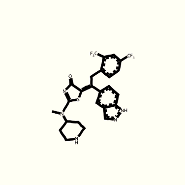 CN(C1=NC(=O)C(=C(Cc2ccc(C(F)(F)F)cc2C(F)(F)F)c2ccc3[nH]ncc3c2)S1)C1CCNCC1